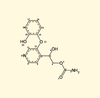 NC(=O)OCC(O)c1ccncc1Oc1ccccc1O